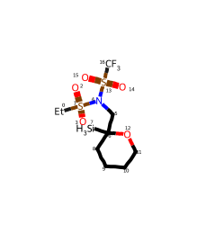 CCS(=O)(=O)N(CC1([SiH3])CCCCO1)S(=O)(=O)C(F)(F)F